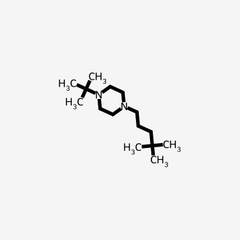 CC(C)(C)CCCN1CCN(C(C)(C)C)CC1